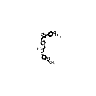 COc1ccc(-c2cc(CN3CCN(C[C@@H](O)COc4ccc5sc(C)nc5c4)CC3)on2)cc1